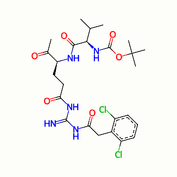 CC(=O)[C@H](CCC(=O)NC(=N)NC(=O)Cc1c(Cl)cccc1Cl)NC(=O)[C@H](NC(=O)OC(C)(C)C)C(C)C